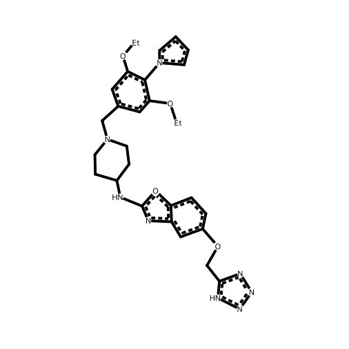 CCOc1cc(CN2CCC(Nc3nc4cc(OCc5nnn[nH]5)ccc4o3)CC2)cc(OCC)c1-n1cccc1